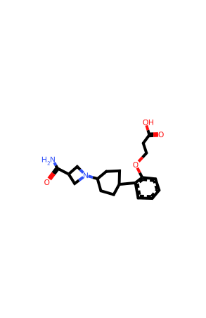 NC(=O)C1CN(C2CCC(c3ccccc3OCCC(=O)O)CC2)C1